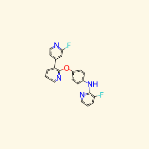 Fc1cc(-c2cccnc2Oc2ccc(Nc3ncccc3F)cc2)ccn1